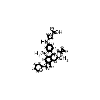 COc1cc(NC2CN(C(=O)O)C2)ccc1[C@@H]1c2ccc3c(cnn3C3CCCCO3)c2C[C@@H](C)N1CC1(F)CC1